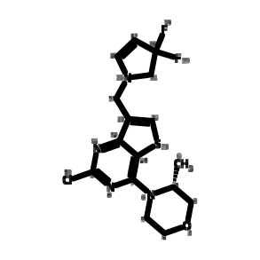 C[C@@H]1COCCN1c1nc(Cl)nc2c(CN3C=CC(F)(F)C3)csc12